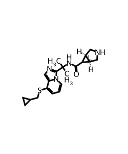 CC(C)(NC(=O)C1[C@H]2CNC[C@@H]12)c1ncc2c(SCC3CC3)cccn12